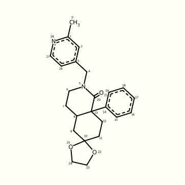 Cc1cc(CN2CCC3CC4(CCC3(c3ccccc3)C2=O)OCCO4)ccn1